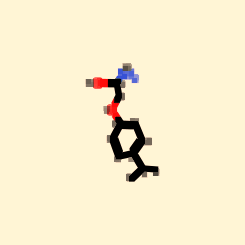 CC(C)c1ccc(OCC(N)=O)cc1